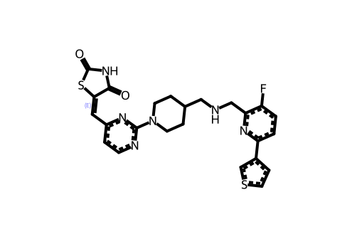 O=C1NC(=O)/C(=C\c2ccnc(N3CCC(CNCc4nc(-c5ccsc5)ccc4F)CC3)n2)S1